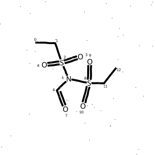 CCS(=O)(=O)N([C]=O)S(=O)(=O)CC